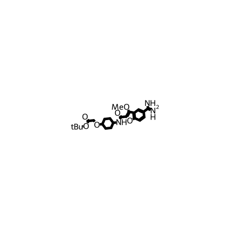 COc1c(C(=O)NC2CCC(OCC(=O)OC(C)(C)C)CC2)oc2ccc(C(=N)N)cc12